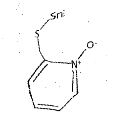 [O-][n+]1ccccc1[S][Sn]